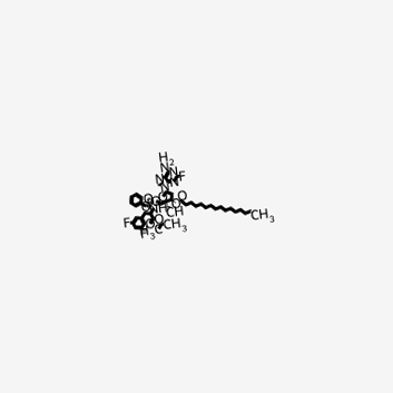 C#C[C@]1(CO[P@@](=O)(NC(Cc2cc(F)cc(F)c2)C(=O)OC(C)C)Oc2ccccc2)O[C@@H](n2cnc3c(N)nc(F)nc32)C[C@@H]1OC(=O)CCCCCCCCCCCCCCC